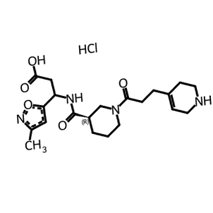 Cc1cc(C(CC(=O)O)NC(=O)[C@@H]2CCCN(C(=O)CCC3=CCNCC3)C2)on1.Cl